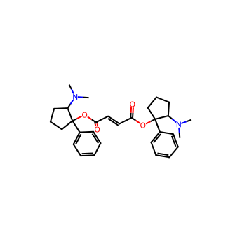 CN(C)C1CCCC1(OC(=O)/C=C/C(=O)OC1(c2ccccc2)CCCC1N(C)C)c1ccccc1